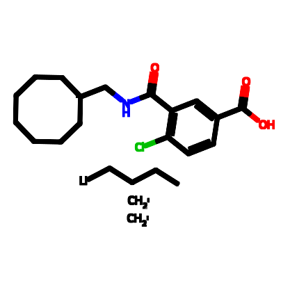 O=C(O)c1ccc(Cl)c(C(=O)NC[C]2CCCCCCC2)c1.[CH2].[CH2].[Li][CH2]CCC